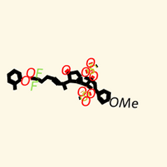 COc1ccc(CCC(C)(OS(C)(=O)=O)C(C)(OS(C)(=O)=O)C2C3CC(=O)C(C(C)C#CCCC(F)(F)C(=O)Oc4ccccc4C)C32)cc1